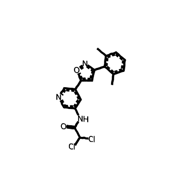 Cc1cccc(C)c1-c1cc(-c2cncc(NC(=O)C(Cl)Cl)c2)on1